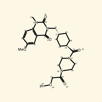 COc1ccc2c(c1)c(=O)n(C[C@H]1CC[C@H](C(=O)N3CCN(C(=O)COC(C)C)CC3)CC1)c(=O)n2C